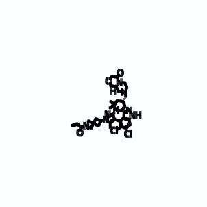 C=CC(=O)N1CC2(CC(n3nc(N4CC[C@@H](CN5CCN6C(=O)COC[C@@H]6C5)CC4(C)C)c(-c4c(Cl)c(Cl)cc5[nH]ncc45)c3C)C2)C1